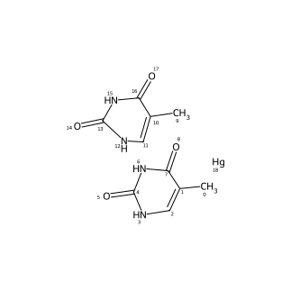 Cc1c[nH]c(=O)[nH]c1=O.Cc1c[nH]c(=O)[nH]c1=O.[Hg]